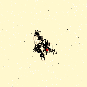 CCC(CC)Nc1c([N+](=O)[O-])cc(C)c(C)c1[N+](=O)[O-].COC(=O)c1cc(Oc2ccc(Cl)cc2Cl)ccc1[N+](=O)[O-].C[S+](C)C.O=C(O)CNCP(=O)([O-])O